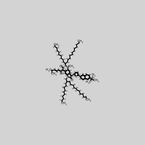 CCCCCCCCCCCCC(CCCCCCCCCC)CN(C)c1cc2c(c\c1=C(C=O)/C(S)=C/C=C/C(C)C)N(CC(CCCCCCCCCC)CCCCCCCCCCCC)C(=O)C=2c1ccc(-c2ccc3cc(C(C)(C)C)ccc3c2)s1